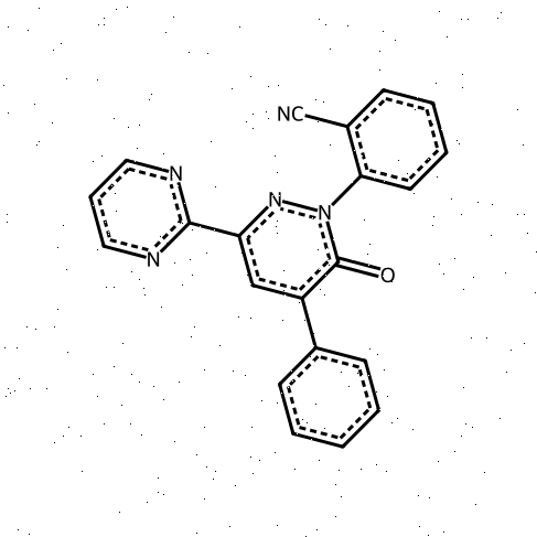 N#Cc1ccccc1-n1nc(-c2ncccn2)cc(-c2ccccc2)c1=O